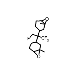 CC12CC(C(CF)(C3CCC4OC4(C)C3)C(F)(F)F)CCC1O2